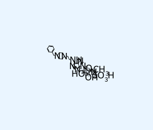 CN([C@@H]1O[C@@H](n2cnc3c(NCCN4CCN(Cc5ccccc5)CC4)ncnc32)[C@H](O)[C@@H]1O)S(=O)(=O)O